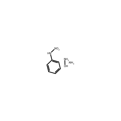 NO.O=[N+]([O-])Nc1ccccc1.[AlH3]